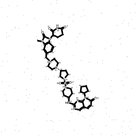 Cn1c(=O)n(C2CCC(=O)NC2=O)c2ccc(CN3CCN([C@@H]4CCN(S(=O)(=O)N5CCC(Nc6ncc7ccc(=O)n(C8CCCC8)c7n6)CC5)C4)CC3)cc21